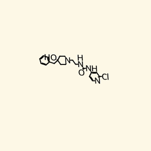 O=C(NCCN1CCC(O)(Cc2ccccc2)CC1)Nc1ccnc(Cl)c1